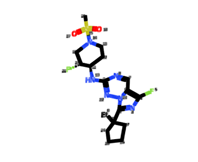 CCC1(c2nc(F)c3cnc(N[C@@H]4CCN(S(C)(=O)=O)C[C@H]4F)nn23)CCCC1